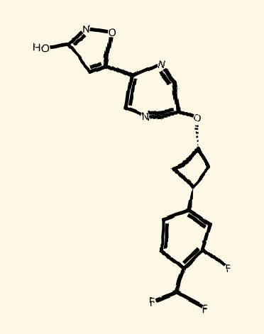 Oc1cc(-c2cnc(O[C@H]3C[C@H](c4ccc(C(F)F)c(F)c4)C3)cn2)on1